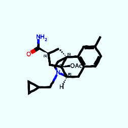 CC(=O)O[C@@]12C[C@@H](C(N)=O)C[C@@]13CCN(CC1CC1)[C@@H]2Cc1ccc(C)cc13